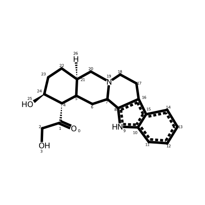 O=C(CO)[C@H]1C2CC3c4[nH]c5ccccc5c4CCN3C[C@@H]2CC[C@@H]1O